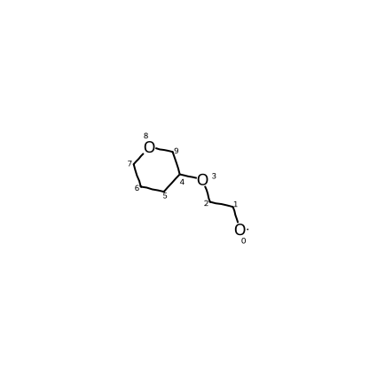 [O]CCOC1CCCOC1